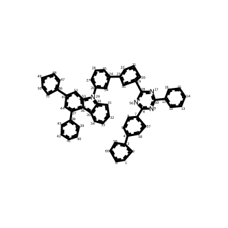 c1ccc(-c2ccc(-c3nc(-c4ccccc4)nc(-c4cccc(-c5cccc(-n6c7ccccc7c7c(-c8ccccc8)cc(-c8ccccc8)cc76)c5)c4)n3)cc2)cc1